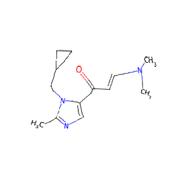 Cc1ncc(C(=O)C=CN(C)C)n1CC1CC1